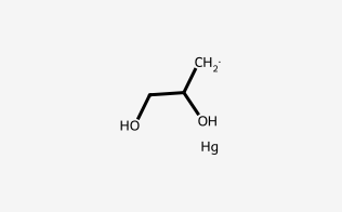 [CH2]C(O)CO.[Hg]